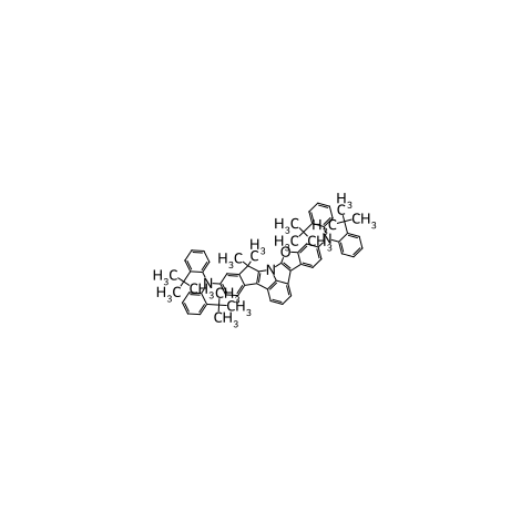 CC(C)(C)c1ccccc1N(c1ccc2c(c1)C(C)(C)c1c-2c2cccc3c4c5ccc(N(c6ccccc6C(C)(C)C)c6ccccc6C(C)(C)C)cc5oc4n1c23)c1ccccc1C(C)(C)C